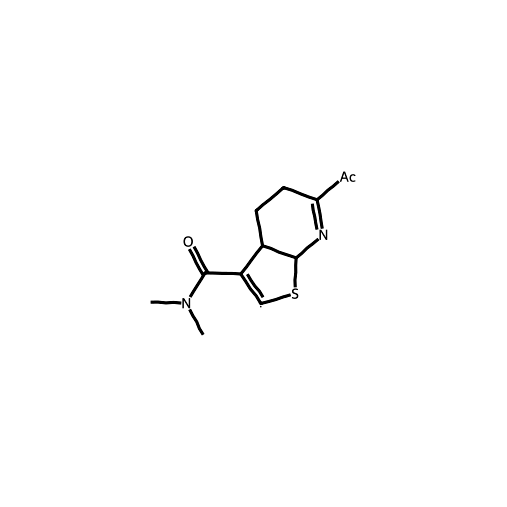 CC(=O)C1=NC2S[C]=C(C(=O)N(C)C)C2CC1